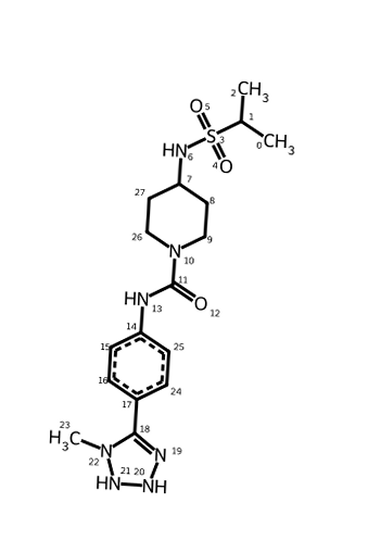 CC(C)S(=O)(=O)NC1CCN(C(=O)Nc2ccc(C3=NNNN3C)cc2)CC1